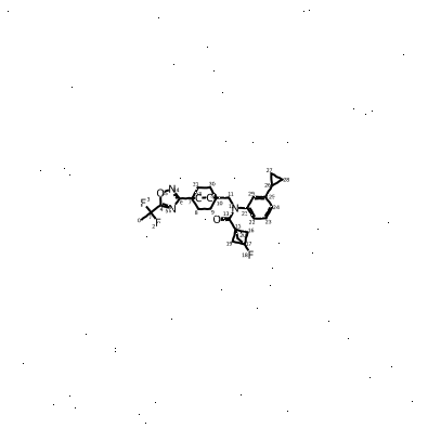 CC(F)(F)c1nc(C23CCC(CN(C(=O)C45CC(F)(C4)C5)c4cccc(C5CC5)c4)(CC2)CC3)no1